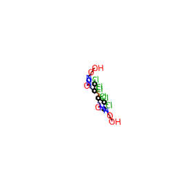 O=C(/C=C/c1ccc(Sc2ccc(/C=C/C(=O)N3CCN(CCOCCO)CC3)c(-c3ccc(Cl)cc3Cl)c2Cl)c(Cl)c1-c1ccc(Cl)cc1Cl)N1CCN(CCOCCO)CC1